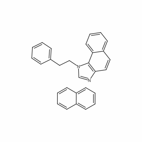 c1ccc(CCn2cnc3ccc4ccccc4c32)cc1.c1ccc2ccccc2c1